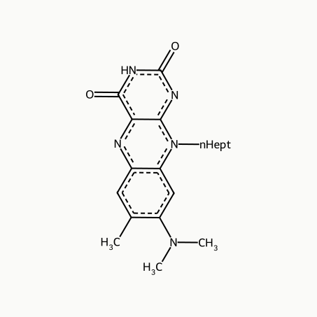 CCCCCCCn1c2nc(=O)[nH]c(=O)c-2nc2cc(C)c(N(C)C)cc21